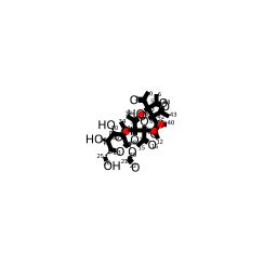 CC(=O)C(O)(C(C)=O)C(OC(C(C)=O)(C(C)=O)C(O[C@]1(OC=O)O[C@H](CO)[C@@H](O)[C@H](O)[C@H]1O)(C(C)=O)C(C)=O)(C(C)=O)C(C)=O